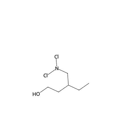 CCC(CCO)CN(Cl)Cl